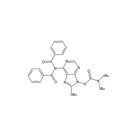 CCCCc1nc2c(N(C(=O)c3ccccc3)C(=O)c3ccccc3)ncnc2n1OC(=O)N(CCCC)C(C)(C)C